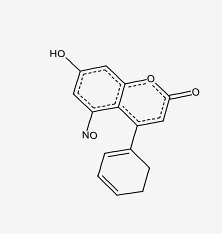 O=Nc1cc(O)cc2oc(=O)cc(C3=CC=CCC3)c12